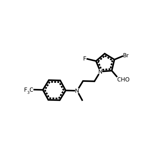 CN(CCn1c(F)cc(Br)c1C=O)c1ccc(C(F)(F)F)cc1